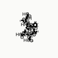 CCC[C@H](NC(=O)[C@@H]1CCCN1C(=O)[C@@H](NC(=O)[C@@H](NC(=O)[C@H](CCC(=O)O)NC(=O)[C@H](CCC(=O)O)NC(C)=O)C(C)C)C1CCCCC1)C(=O)C(=O)NCC(=O)O